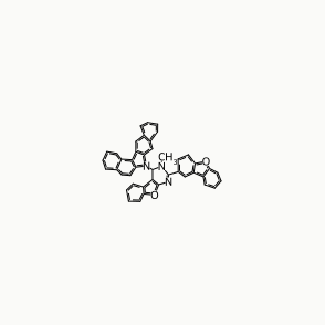 CN1C(c2ccc3oc4ccccc4c3c2)=Nc2oc3ccccc3c2C1n1c2cc3ccccc3cc2c2c3ccccc3ccc21